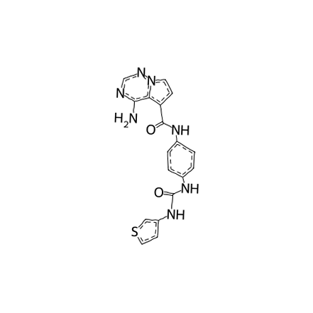 Nc1ncnn2ccc(C(=O)Nc3ccc(NC(=O)Nc4ccsc4)cc3)c12